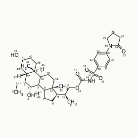 CC[C@H]1[C@@H](O)C2[C@@H]3CC[C@H]([C@H](C)COC(=O)NS(=O)(=O)c4ccc(N5CCCC5=O)cc4)[C@@]3(C)CC[C@@H]2[C@@]2(C)CC[C@@H](O)C[C@@H]12